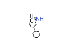 C/C=C\C(=C/C=N)C1=CCCC=C1